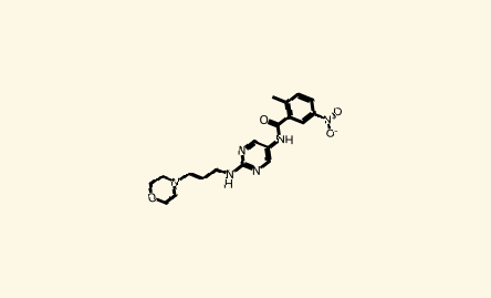 Cc1ccc([N+](=O)[O-])cc1C(=O)Nc1cnc(NCCCN2CCOCC2)nc1